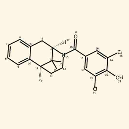 CC1(C)[C@H]2Cc3ccccc3[C@]1(C)CCN2C(=O)c1cc(Cl)c(O)c(Cl)c1